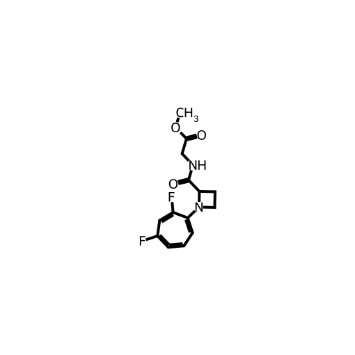 COC(=O)CNC(=O)C1CCN1C1=CC=C=C(F)C=C1F